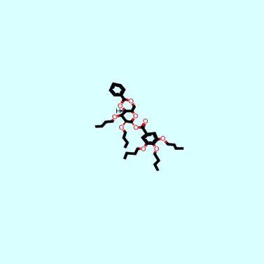 CCCCOc1cc(C(=O)O[C@@H]2OC3COC(c4ccccc4)O[C@H]3C(OCCCC)[C@@H]2OCCCC)cc(OCCCC)c1OCCCC